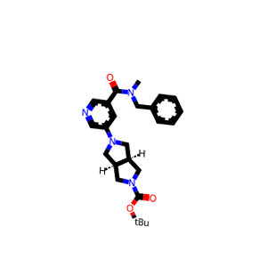 CN(Cc1ccccc1)C(=O)c1cncc(N2C[C@H]3CN(C(=O)OC(C)(C)C)C[C@H]3C2)c1